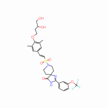 Cc1cc(C=CS(=O)(=O)N2CCC3(CC2)N=C(c2cccc(OC(F)(F)F)c2)NC3=O)cc(C)c1OCCC(O)CO